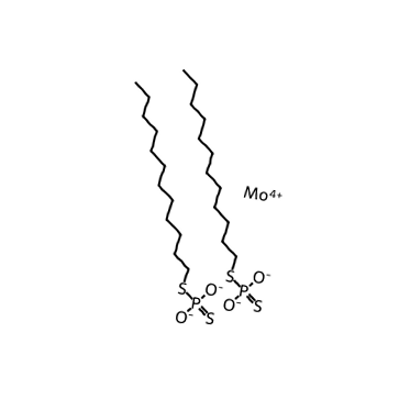 CCCCCCCCCCCCSP([O-])([O-])=S.CCCCCCCCCCCCSP([O-])([O-])=S.[Mo+4]